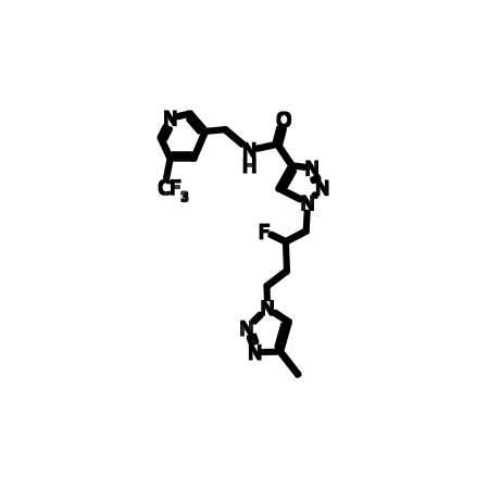 Cc1cn(CCC(F)Cn2cc(C(=O)NCc3cncc(C(F)(F)F)c3)nn2)nn1